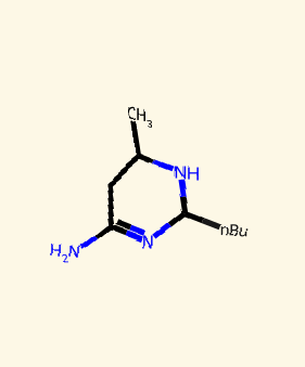 CCCCC1N=C(N)CC(C)N1